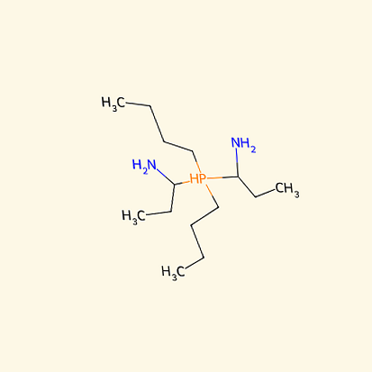 CCCC[PH](CCCC)(C(N)CC)C(N)CC